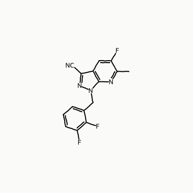 Cc1nc2c(cc1F)c(C#N)nn2Cc1cccc(F)c1F